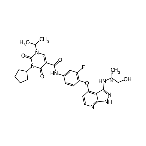 CC(C)n1cc(C(=O)Nc2ccc(Oc3ccnc4[nH]nc(N[C@H](C)CO)c34)c(F)c2)c(=O)n(C2CCCC2)c1=O